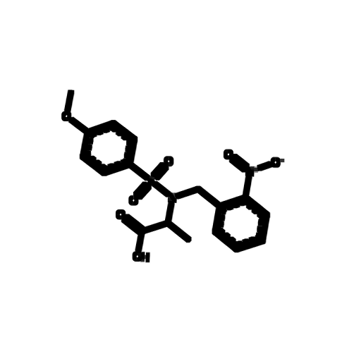 COc1ccc(S(=O)(=O)N(Cc2ccccc2[N+](=O)[O-])C(C)C(=O)O)cc1